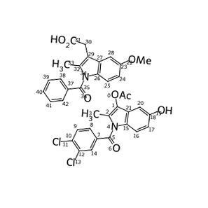 CC(=O)Oc1c(C)n(C(=O)c2ccc(Cl)c(Cl)c2)c2ccc(O)cc12.COc1ccc2c(c1)c(CC(=O)O)c(C)n2C(=O)c1ccccc1